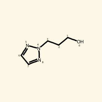 OCCCn1nccn1